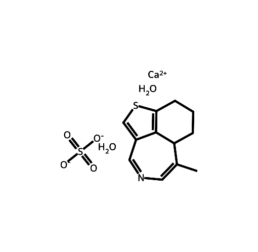 CC1=CN=Cc2csc3c2C1CCC3.O.O.O=S(=O)([O-])[O-].[Ca+2]